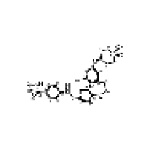 Cc1cc(OC2CCS(=O)(=O)CC2)cc2c1-c1cc(CNc3ccc([C@H]4C[C@@H]4C(=O)O)cc3)ccc1OCC2